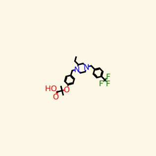 CCC1CN(Cc2ccc(C(F)(F)F)cc2)CCN1Cc1ccc(OC(C)(C)C(=O)O)cc1